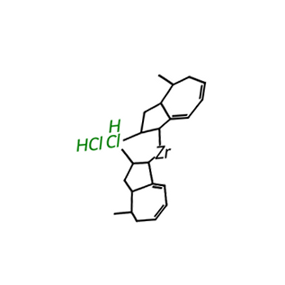 CC1CC=CC=C2C1CC(C)[CH]2[Zr][CH]1C2=CC=CCC(C)C2CC1C.Cl.Cl